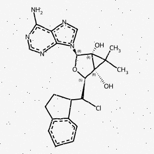 CC1(C)[C@]2(O)[C@H](n3cnc4c(N)ncnc43)O[C@H](C(Cl)C3CCc4ccccc43)[C@]12O